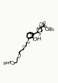 COCCOCCOCCOc1cccc(C2=N[C@@](C)(C(=O)OCC(C)C)CS2)c1O